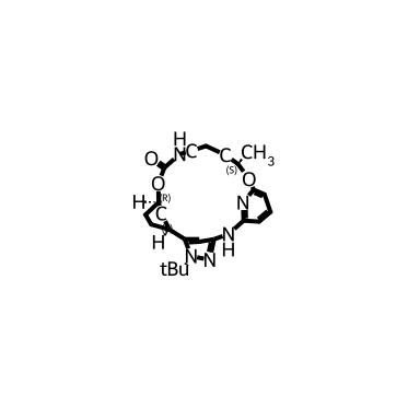 C[C@H]1CCCNC(=O)O[C@@H]2CC[C@@H](C2)c2cc(nn2C(C)(C)C)Nc2cccc(n2)O1